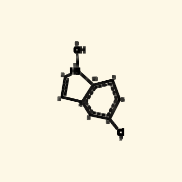 O[SH]1C=Cc2cc(Cl)ccc21